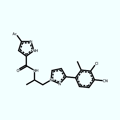 CC(=O)c1cc(C(=O)NC(C)Cn2ccc(-c3ccc(C#N)c(Cl)c3C)n2)[nH]n1